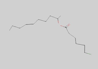 CCCCCCCCC(C)OC(=O)CCCCCBr